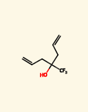 C=CCC(O)(CC=C)C(F)(F)F